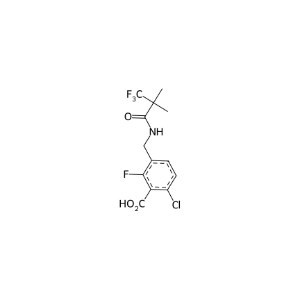 CC(C)(C(=O)NCc1ccc(Cl)c(C(=O)O)c1F)C(F)(F)F